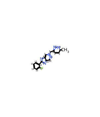 Cc1ccc(Cn2cc3nc(-c4ccccc4F)nc-3cn2)nn1